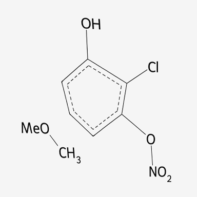 COC.O=[N+]([O-])Oc1cccc(O)c1Cl